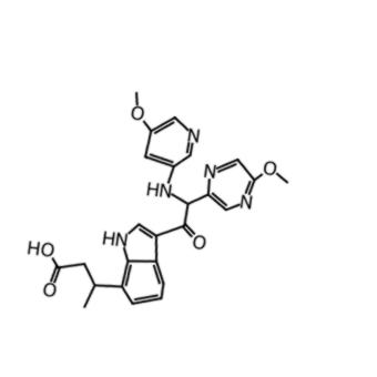 COc1cncc(NC(C(=O)c2c[nH]c3c(C(C)CC(=O)O)cccc23)c2cnc(OC)cn2)c1